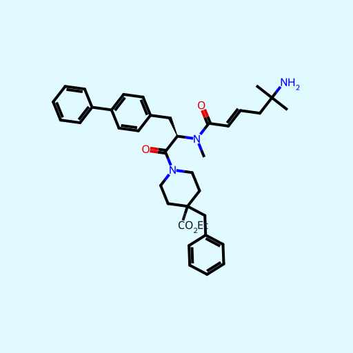 CCOC(=O)C1(Cc2ccccc2)CCN(C(=O)[C@@H](Cc2ccc(-c3ccccc3)cc2)N(C)C(=O)C=CCC(C)(C)N)CC1